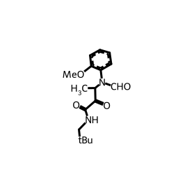 COc1ccccc1N(C=O)C(C)C(=O)C(=O)NCC(C)(C)C